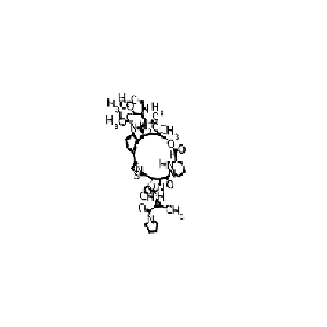 C=C/C(=C(\N=C/C)[C@H](C)OC)c1c2c3cc(ccc3n1CC)-c1csc(n1)[C@@H](OCC)[C@H](NC(=O)[C@@H]1[C@@H](C)[C@H]1C(=O)N1CCCC1)C(=O)N1CCC[C@H](N1)C(=O)OCC(C)(C)C2